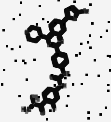 CC(=O)c1ccc(-c2ccc3c(N4CCOCC4)nc(-c4ccc(NC(=O)Nc5ccc(C(=O)N(C)C)c(F)c5)cc4)nc3c2)o1